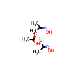 CC(=O)O.CC(C)=NO.CC(C)=NO